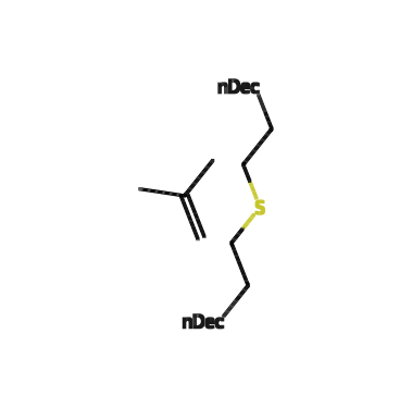 C=C(C)C.CCCCCCCCCCCCSCCCCCCCCCCCC